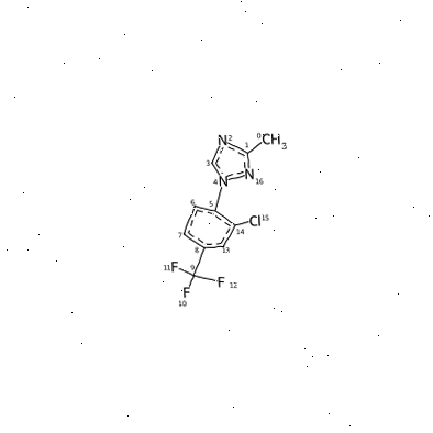 Cc1ncn(-c2ccc(C(F)(F)F)cc2Cl)n1